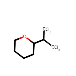 ClC(Cl)(Cl)C(C1CCCCO1)C(Cl)(Cl)Cl